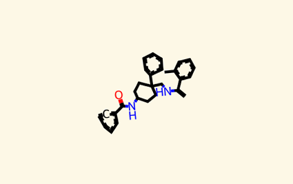 C=C(NCC1(c2ccccc2)CCC(NC(=O)c2ccccc2)CC1)c1ccccc1C